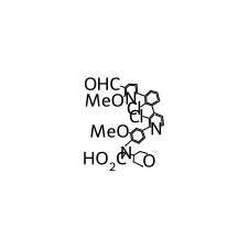 COc1cc(-c2nccc(-c3cccc(-c4ccc(C=O)c(OC)n4)c3Cl)c2Cl)ccc1CN(C(=O)O)C1CCOCC1